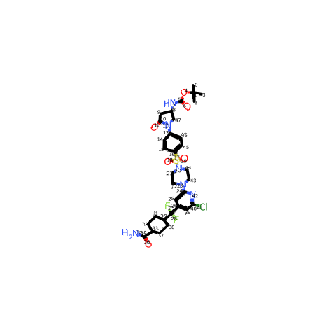 CC(C)(C)OC(=O)N[C@@H]1CC(=O)N(c2ccc(S(=O)(=O)N3CCN(c4cc(C(F)(F)C5CCC(C(N)=O)CC5)cc(Cl)n4)CC3)cc2)C1